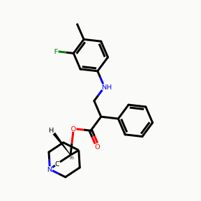 Cc1ccc(NCC(C(=O)O[C@H]2CN3CCC2CC3)c2ccccc2)cc1F